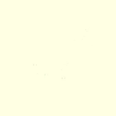 C=C(C)C(=O)OCC(=O)OC(C)OC12CC3CC(C1)OC(=O)C(C3)C2